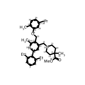 CCc1cccc(CC)c1-c1cc(CN2CCC(C)(C(=O)OC)CC2)c(COc2cc(C(C)C)ccc2C)c(C)n1